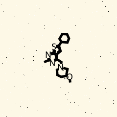 CO[C@H]1CCCN(Cc2nc(C)nc3sc(C4CCCCC4)cc23)C1